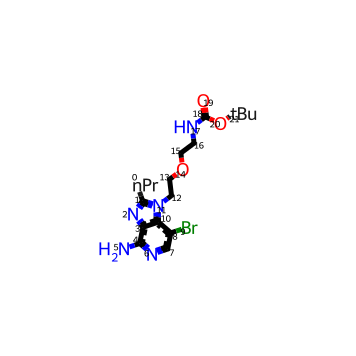 CCCc1nc2c(N)ncc(Br)c2n1CCOCCNC(=O)OC(C)(C)C